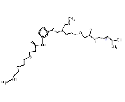 CNCCOCCOCCC(=O)Nc1cccc(OCC(OCCOCC(=O)NC/C=C/C(C)C)SSC)c1